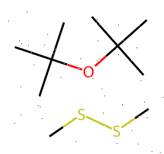 CC(C)(C)OC(C)(C)C.CSSC